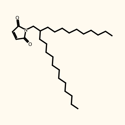 CCCCCCCCCCCCC(CCCCCCCCCC)CN1C(=O)C=CC1=O